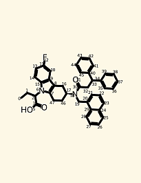 CCC(C(=O)O)n1c2c(c3cc(F)ccc31)C[C@@H](N(Cc1cccc3ccccc13)C(=O)CC(c1ccccc1)c1ccccc1)CC2